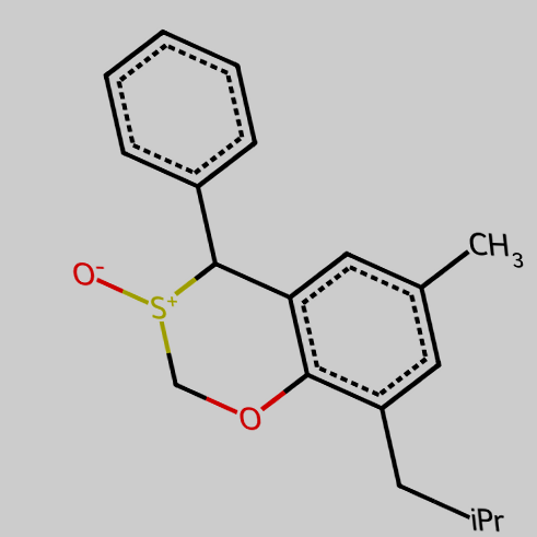 Cc1cc(CC(C)C)c2c(c1)C(c1ccccc1)[S+]([O-])CO2